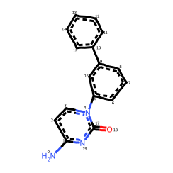 Nc1ccn(-c2cccc(-c3ccccc3)c2)c(=O)n1